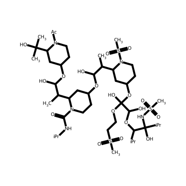 CC(=O)N1CCC(OC(O)C(C)C2CC(OC(O)C(C)C3CC(OC(O)(OCCS(C)(=O)=O)[C](O)OC(C(C)C)C(O)(NS(C)(=O)=O)C(C)C)CCN3S(C)(=O)=O)CCN2C(=O)NC(C)C)CC1C(C)(C)O